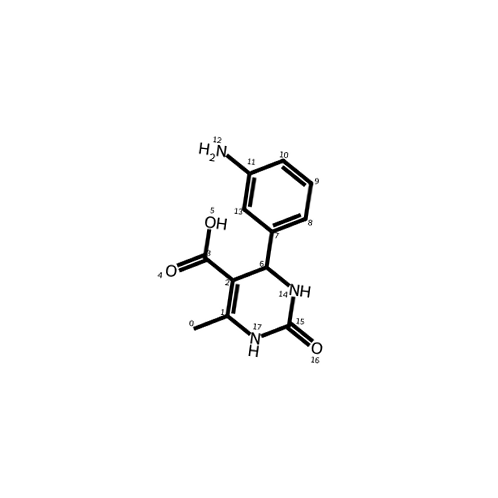 CC1=C(C(=O)O)C(c2cccc(N)c2)NC(=O)N1